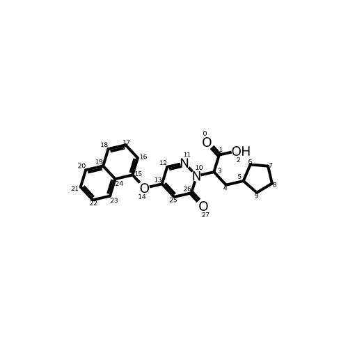 O=C(O)C(CC1CCCC1)n1ncc(Oc2cccc3ccccc23)cc1=O